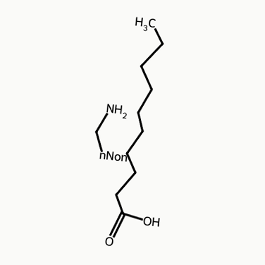 CCCCCCCCCC(=O)O.CCCCCCCCCCN